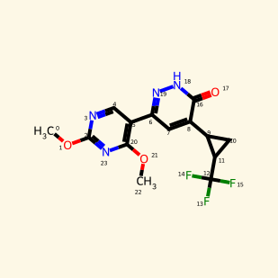 COc1ncc(-c2cc(C3CC3C(F)(F)F)c(=O)[nH]n2)c(OC)n1